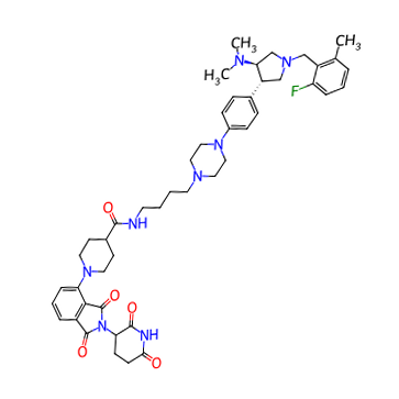 Cc1cccc(F)c1CN1C[C@H](c2ccc(N3CCN(CCCCNC(=O)C4CCN(c5cccc6c5C(=O)N(C5CCC(=O)NC5=O)C6=O)CC4)CC3)cc2)[C@@H](N(C)C)C1